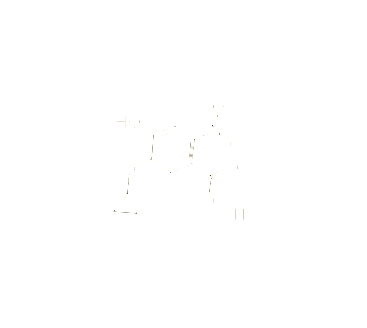 COC(=O)c1cc(OC2CC2)c(O)cc1[N+](=O)[O-]